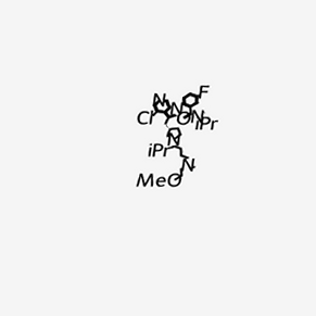 COCCN(C)CCCC(C(C)C)N1CC[C@@H](Cc2cn(-c3ccc(F)cc3C(=O)N(C)C(C)C)c3cncc(Cl)c23)C1